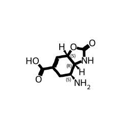 N[C@H]1CC(C(=O)O)=C[C@@H]2OC(=O)N[C@@H]21